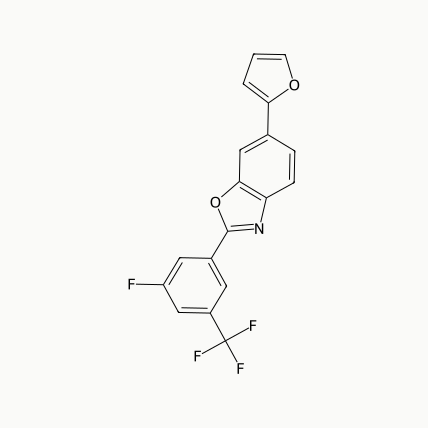 Fc1cc(-c2nc3ccc(-c4ccco4)cc3o2)cc(C(F)(F)F)c1